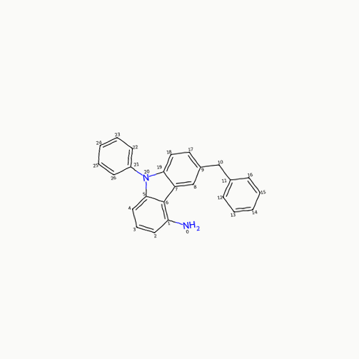 Nc1cccc2c1c1cc(Cc3ccccc3)ccc1n2-c1ccccc1